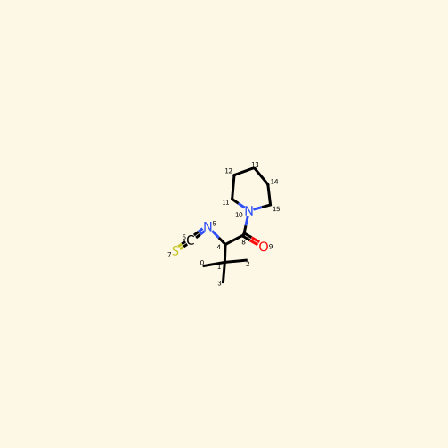 CC(C)(C)C(N=C=S)C(=O)N1CCCCC1